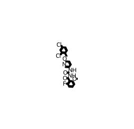 COc1cccc(F)c1C(=O)NC(=O)Nc1ccc(OCc2ccc(Cl)cc2Cl)nc1